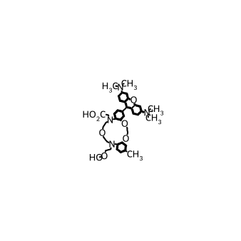 Cc1ccc2c(c1)OCCOc1cc(-c3c4ccc(=[N+](C)C)cc-4oc4cc(N(C)C)ccc34)ccc1N(CC(=O)O)CCOCCN2CCOO